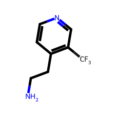 NCCc1ccncc1C(F)(F)F